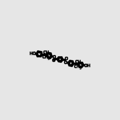 CC(C)(c1ccc(O)cc1)c1ccc(OC(=O)c2ccc(C(=O)Oc3ccc(C(C)(C)c4ccc(O)cc4)cc3)cc2)cc1